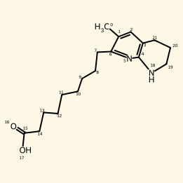 Cc1cc2c(nc1CCCCCCCCC(=O)O)NCCC2